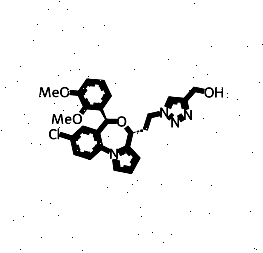 COc1cccc([C@H]2O[C@H](CCn3cc(CO)nn3)c3cccn3-c3ccc(Cl)cc32)c1OC